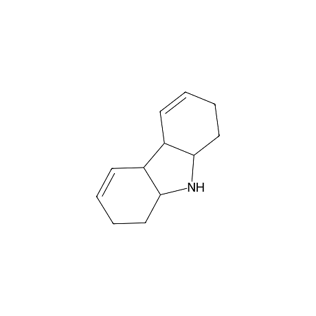 C1=CC2C(CC1)NC1CCC=CC12